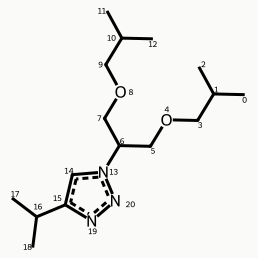 CC(C)COCC(COCC(C)C)n1cc(C(C)C)nn1